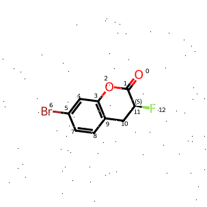 O=C1Oc2cc(Br)ccc2C[C@@H]1F